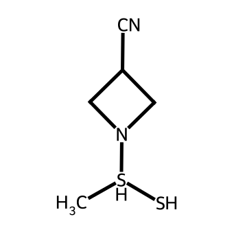 C[SH](S)N1CC(C#N)C1